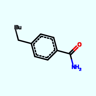 CCC(C)Cc1ccc(C(N)=O)cc1